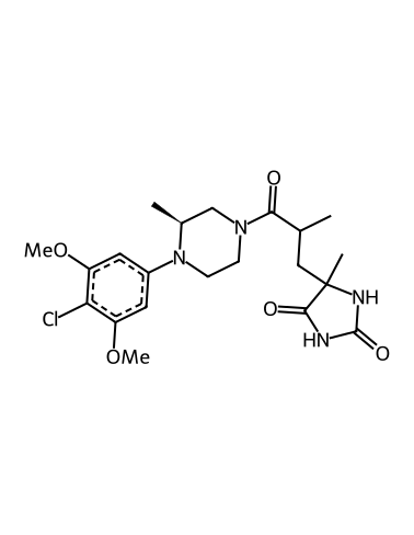 COc1cc(N2CCN(C(=O)C(C)CC3(C)NC(=O)NC3=O)C[C@@H]2C)cc(OC)c1Cl